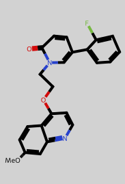 COc1ccc2c(OCCn3cc(-c4ccccc4F)ccc3=O)ccnc2c1